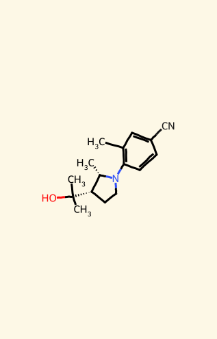 Cc1cc(C#N)ccc1N1CC[C@H](C(C)(C)O)[C@@H]1C